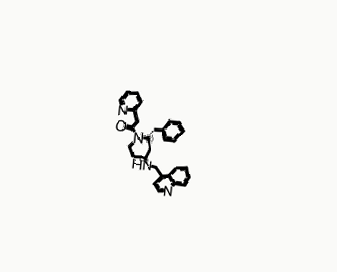 O=C(Cc1ccccn1)N1CC[C@H](NCc2ccnc3ccccc23)C[C@H]1Cc1ccccc1